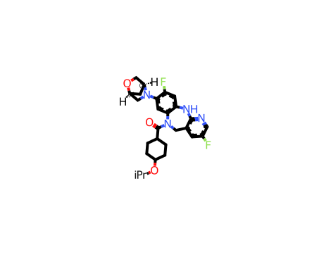 CC(C)OC1CCC(C(=O)N2Cc3cc(F)cnc3Nc3cc(F)c(N4C[C@@H]5C[C@H]4CO5)cc32)CC1